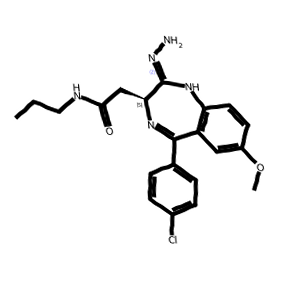 CCCNC(=O)C[C@@H]1N=C(c2ccc(Cl)cc2)c2cc(OC)ccc2N/C1=N\N